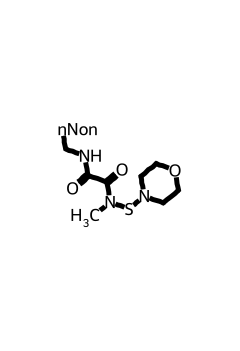 CCCCCCCCCCNC(=O)C(=O)N(C)SN1CCOCC1